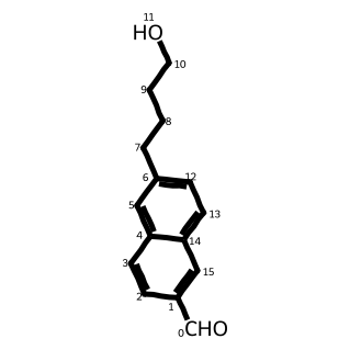 O=Cc1ccc2cc(CCCCO)ccc2c1